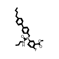 CCCCc1ccc(-c2ccc(CN(C(=O)NCCC)c3ccc(F)c(C(=O)OC)c3)cc2)cc1